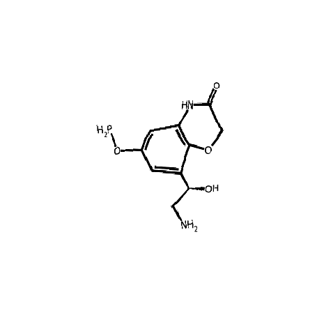 NC[C@H](O)c1cc(OP)cc2c1OCC(=O)N2